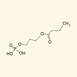 CCCC(=O)OCCCOP(=O)(O)O